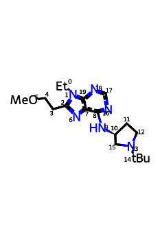 CCn1c(CCOC)nc2c(N[C@H]3CCN(C(C)(C)C)C3)ncnc21